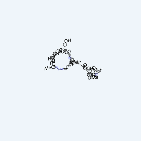 C=CCN(/C=C1/C(=O)O[C@H](COC)[C@@]2(C)C1=C(O)C(=O)C1=C2[C@H](OC(C)=O)C[C@]2(C)[C@@H](OC(=O)CCCCCCC(=O)O[C@@H]3/C(C)=C/[C@@H](C)C(=O)C[C@@H]([C@H](C)C[C@H]4CC[C@H](O)CC4)OC(=O)[C@@H]4CCCCN4C(=O)C(=O)[C@]4(O)O[C@@H](CC[C@H]4C)C[C@H](OC)/C(C)=C/C=C/C=C/[C@@H](C)C[C@@H](C)C(=O)[C@@H]3OC)CC[C@@H]12)CC=C